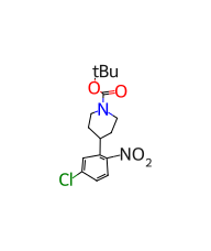 CC(C)(C)OC(=O)N1CCC(c2cc(Cl)ccc2[N+](=O)[O-])CC1